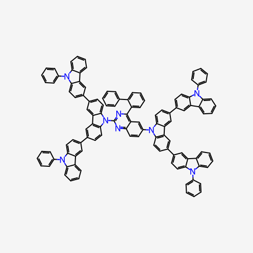 c1ccc(-c2ccccc2-c2nc(-n3c4ccc(-c5ccc6c(c5)c5ccccc5n6-c5ccccc5)cc4c4cc(-c5ccc6c(c5)c5ccccc5n6-c5ccccc5)ccc43)nc3ccc(-n4c5ccc(-c6ccc7c(c6)c6ccccc6n7-c6ccccc6)cc5c5cc(-c6ccc7c(c6)c6ccccc6n7-c6ccccc6)ccc54)cc23)cc1